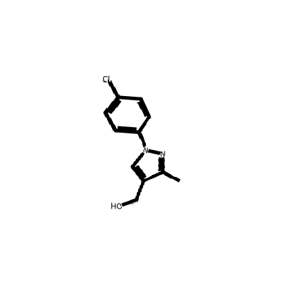 Cc1nn(-c2ccc(Cl)cc2)cc1CO